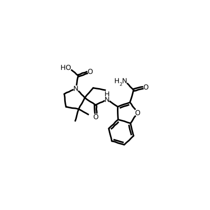 CCC1(C(=O)Nc2c(C(N)=O)oc3ccccc23)N(C(=O)O)CCC1(C)C